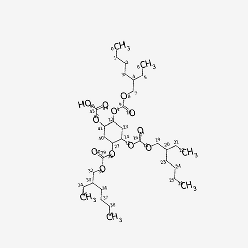 CCCCC(CC)COC(=O)OC1CC(OC(=O)OCC(CC)CCCC)C(OC(=O)OCC(CC)CCCC)CC1OC(=O)O